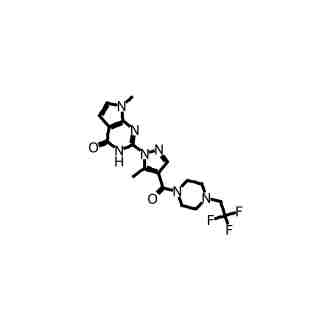 Cc1c(C(=O)N2CCN(CC(F)(F)F)CC2)cnn1-c1nc2c(ccn2C)c(=O)[nH]1